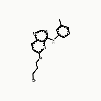 Cc1cccc(Nc2ncnc3cnc(NCCCO)nc23)c1